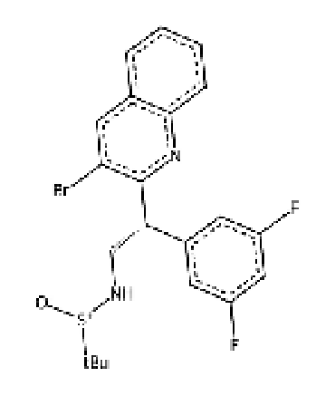 CC(C)(C)[S+]([O-])NC[C@@H](c1cc(F)cc(F)c1)c1nc2ccccc2cc1Br